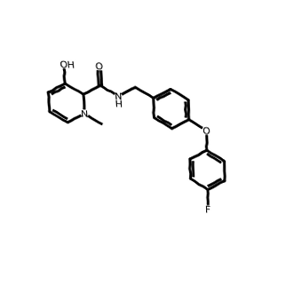 CN1C=CC=C(O)C1C(=O)NCc1ccc(Oc2ccc(F)cc2)cc1